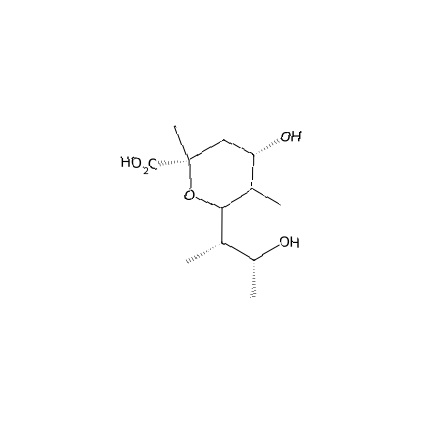 CC1C([C@@H](C)[C@@H](C)O)O[C@](C)(C(=O)O)C[C@@H]1O